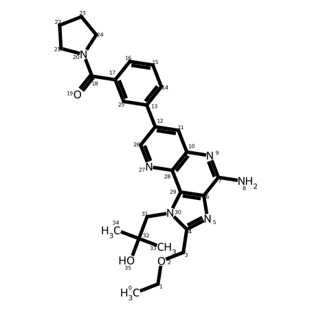 CCOCc1nc2c(N)nc3cc(-c4cccc(C(=O)N5CCCC5)c4)cnc3c2n1CC(C)(C)O